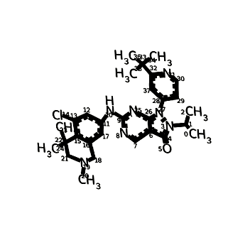 CC(C)n1c(=O)c2cnc(Nc3cc(Cl)c4c(c3)CN(C)CC4(C)C)nc2n1-c1ccnc(C(C)(C)C)c1